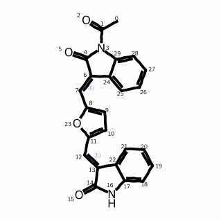 CC(=O)N1C(=O)/C(=C/c2ccc(/C=C3/C(=O)Nc4ccccc43)o2)c2ccccc21